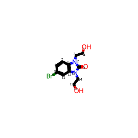 O=c1n(CCO)c2ccc(Br)cc2n1CCO